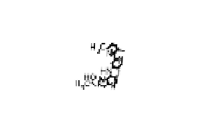 Cc1ccc(F)c(-c2cc(Nc3c(F)cnc4cn(C[C@H](C)O)nc34)ccn2)n1